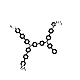 C[n+]1ccc(-c2ccc(-c3ccc(N(c4ccc(-c5ccc(-c6cc[n+](C)cc6)cc5)cc4)c4ccc(-c5ccc(N(c6ccc(-c7ccccc7)cc6)c6ccc(-c7ccc(-n8cc[n+](C)c8)cc7)cc6)cc5)cc4)cc3)cc2)cc1